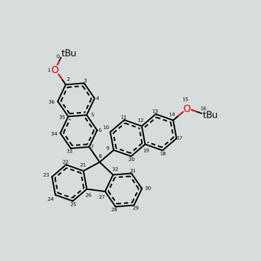 CC(C)(C)Oc1ccc2cc(C3(c4ccc5cc(OC(C)(C)C)ccc5c4)c4ccccc4-c4ccccc43)ccc2c1